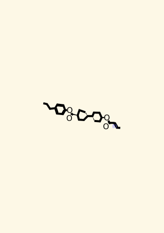 C/C=C/C(=O)O[C@H]1CC[C@H]([C@H]2CC[C@H](C(=O)Oc3ccc(CCC)cc3)CC2)CC1